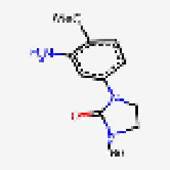 COc1ccc(N2CCN(C(C)(C)C)C2=O)cc1N